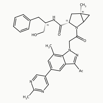 CC(=O)c1nn(CC(=O)N2C3C[C@]3(C)C[C@H]2C(=O)N[C@H](CO)Cc2ccccc2)c2c(C)cc(-c3cnc(C)nc3)cc12